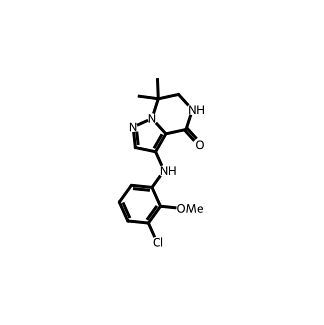 COc1c(Cl)cccc1Nc1cnn2c1C(=O)NCC2(C)C